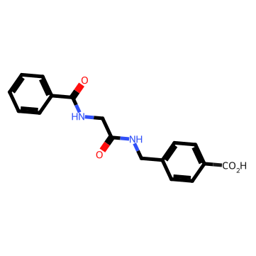 O=C(CNC(=O)c1ccccc1)NCc1ccc(C(=O)O)cc1